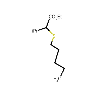 CCOC(=O)C(SCCCCC(F)(F)F)C(C)C